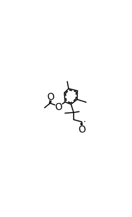 CC(=O)Oc1cc(C)cc(C)c1C(C)(C)C[C]=O